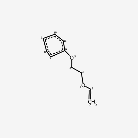 C=COCCOc1ccccc1